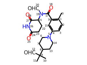 Cc1ccc(N2CCC(C(C)(C)C=O)CC2)cc1C(=O)N(C=O)C1CCC(=O)NC1=O